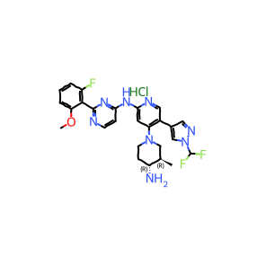 COc1cccc(F)c1-c1nccc(Nc2cc(N3CC[C@@H](N)[C@H](C)C3)c(-c3cnn(C(F)F)c3)cn2)n1.Cl